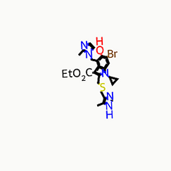 CCOC(=O)c1c(CSCc2nc[nH]c2C)n(C2CC2)c2cc(Br)c(O)c(Cn3ccnc3C)c12